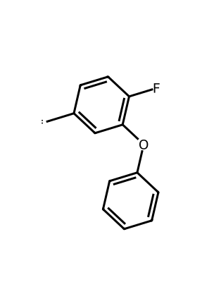 [CH]c1ccc(F)c(Oc2ccccc2)c1